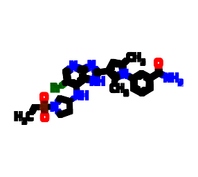 CCS(=O)(=O)N1CC[C@H](Nc2c(Br)cnc3nc(-c4cc(C)n(-c5cccc(C(N)=O)c5)c4C)[nH]c23)C1